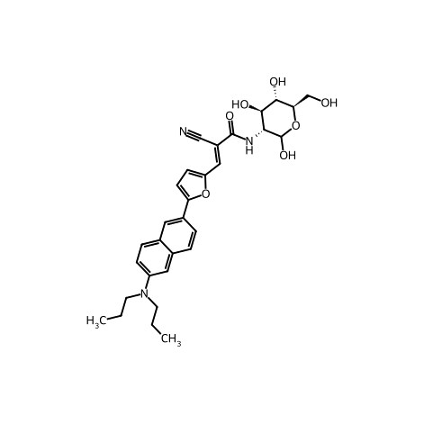 CCCN(CCC)c1ccc2cc(-c3ccc(/C=C(\C#N)C(=O)N[C@H]4C(O)O[C@H](CO)[C@@H](O)[C@@H]4O)o3)ccc2c1